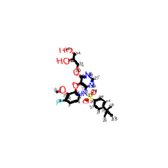 COc1c(F)cccc1Oc1c(NS(=O)(=O)c2ccc(C(C)(C)C)cc2)ncnc1OC[C@@H](O)CO